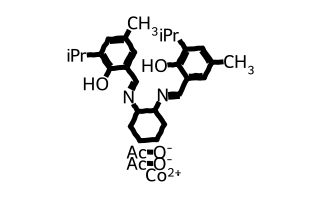 CC(=O)[O-].CC(=O)[O-].Cc1cc(C=NC2CCCCC2N=Cc2cc(C)cc(C(C)C)c2O)c(O)c(C(C)C)c1.[Co+2]